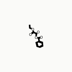 CCOC(=O)C(=O)OC(=O)c1ccccc1